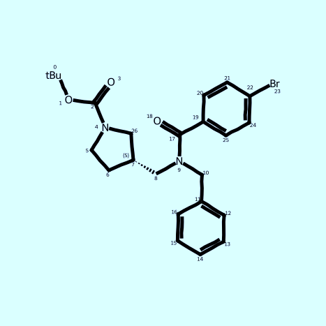 CC(C)(C)OC(=O)N1CC[C@@H](CN(Cc2ccccc2)C(=O)c2ccc(Br)cc2)C1